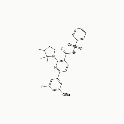 CC(C)COc1cc(F)cc(-c2ccc(C(=O)NS(=O)(=O)c3ccccn3)c(N3CCC(C)C3(C)C)n2)c1